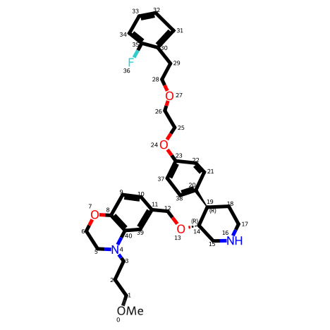 COCCCN1CCOc2ccc(CO[C@H]3CNCC[C@@H]3c3ccc(OCCOCCc4ccccc4F)cc3)cc21